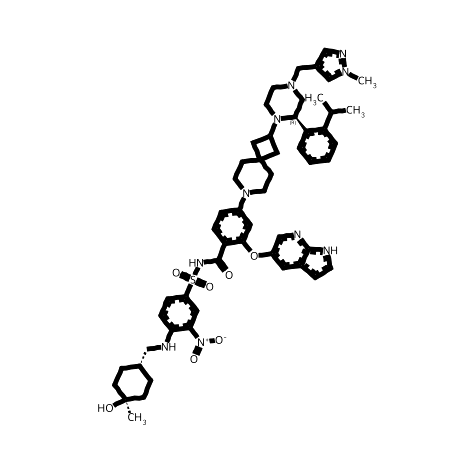 CC(C)c1ccccc1[C@@H]1CN(Cc2cnn(C)c2)CCN1C1CC2(CCN(c3ccc(C(=O)NS(=O)(=O)c4ccc(NC[C@H]5CC[C@](C)(O)CC5)c([N+](=O)[O-])c4)c(Oc4cnc5[nH]ccc5c4)c3)CC2)C1